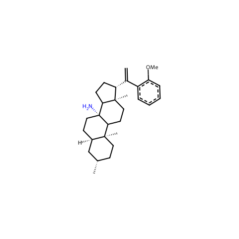 C=C(c1ccccc1OC)[C@H]1CCC2[C@]3(N)CC[C@@H]4C[C@@H](C)CC[C@]4(C)C3CC[C@@]21C